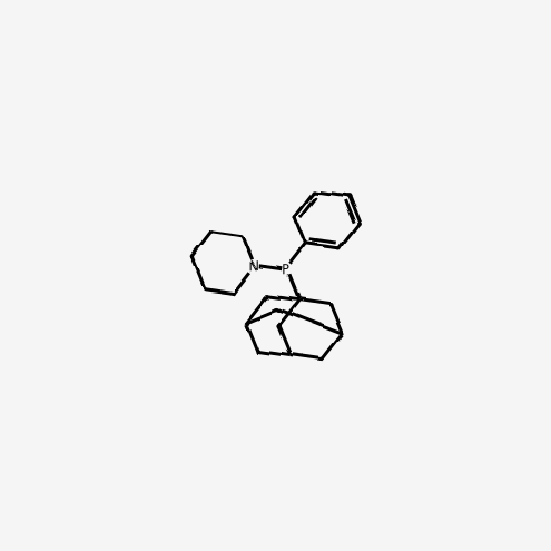 c1ccc(P(N2CCCCC2)C23CC4CC(CC(C4)C2)C3)cc1